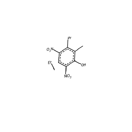 CCC.Cc1c(O)c([N+](=O)[O-])cc([N+](=O)[O-])c1C(C)C